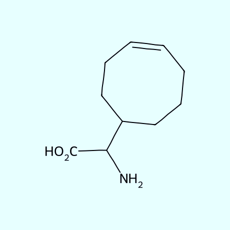 NC(C(=O)O)C1CCC=CCCC1